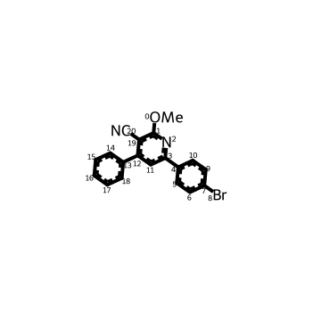 COc1nc(-c2ccc(Br)cc2)cc(-c2ccccc2)c1C#N